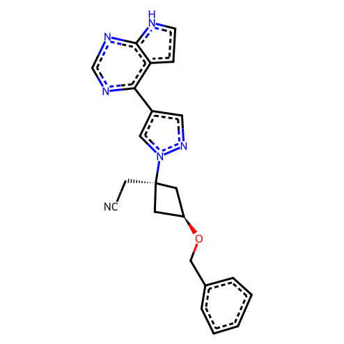 N#CC[C@]1(n2cc(-c3ncnc4[nH]ccc34)cn2)C[C@@H](OCc2ccccc2)C1